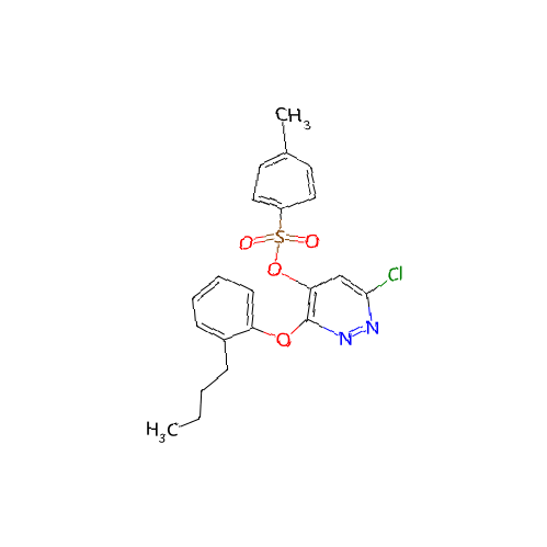 CCCCc1ccccc1Oc1nnc(Cl)cc1OS(=O)(=O)c1ccc(C)cc1